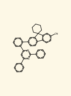 N#Cc1ccc2c(c1)C1(CCCCC1)c1cc(-c3ccccc3-c3cc(-c4ccccc4)nc(-c4ccccc4)n3)ccc1-2